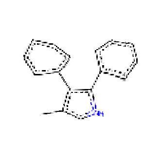 Cc1c[nH]c(-c2ccccc2)c1-c1ccccc1